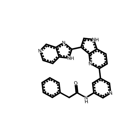 O=C(Cc1ccccc1)Nc1cncc(-c2ccc3[nH]cc(-c4nc5cnccc5[nH]4)c3n2)c1